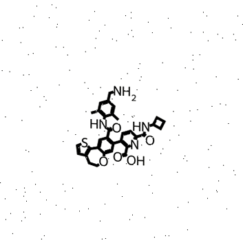 Cc1cc(CN)cc(C)c1NC(=O)c1cc2c(cc1-c1ccc(C(=O)NC3CCC3)nc1C(=O)O)OCCc1ccsc1-2